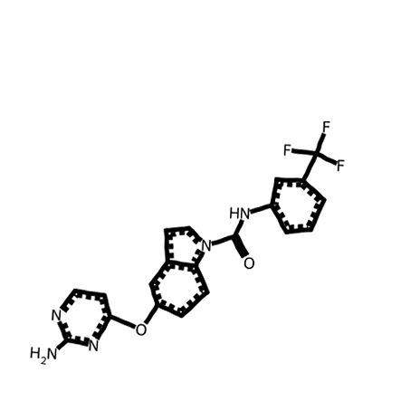 Nc1nccc(Oc2ccc3c(ccn3C(=O)Nc3cccc(C(F)(F)F)c3)c2)n1